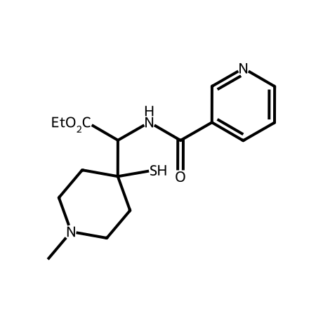 CCOC(=O)C(NC(=O)c1cccnc1)C1(S)CCN(C)CC1